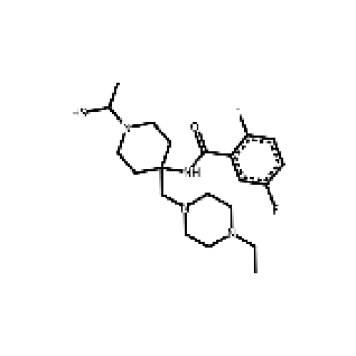 CCN1CCN(CC2(NC(=O)c3cc(F)ccc3F)CCN(C(C)S)CC2)CC1